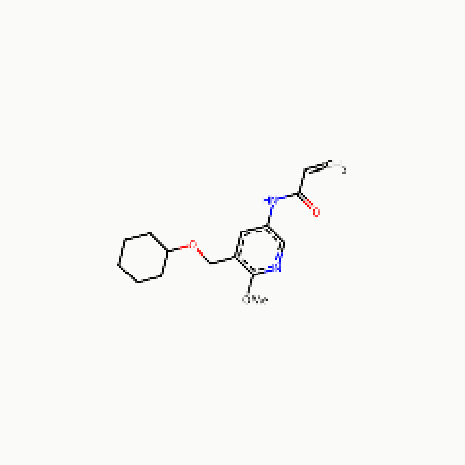 C=CC(=O)Nc1cnc(OC)c(COC2CCCCC2)c1